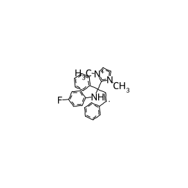 Cn1cc[n+](C)c1C(/C=[C]\c1ccccc1)(Nc1ccc(F)cc1)c1ccccc1